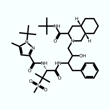 Cc1cc(C(=O)N[C@H](C(=O)NC(Cc2ccccc2)C(O)CN2C[C@H]3CCCC[C@H]3CC2C(=O)NC(C)(C)C)C(C)(C)S(C)(=O)=O)nn1C(C)(C)C